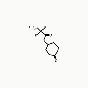 O=C1CCCC(OC(=O)C(F)(F)S(=O)(=O)O)CC1